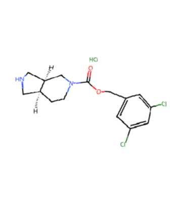 Cl.O=C(OCc1cc(Cl)cc(Cl)c1)N1CC[C@H]2CNC[C@H]2C1